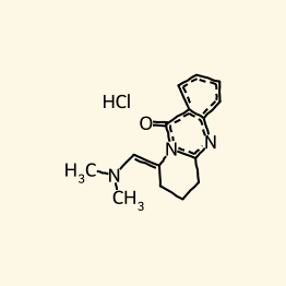 CN(C)C=C1CCCc2nc3ccccc3c(=O)n21.Cl